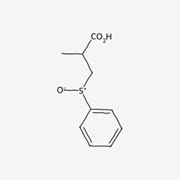 CC(C[S+]([O-])c1ccccc1)C(=O)O